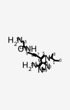 CCC(C)n1cc(C#CCNC(=O)CN)c2c(N)ncnc21